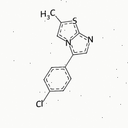 Cc1cn2c(-c3ccc(Cl)cc3)cnc2s1